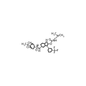 CN(C)CCNC(=O)Oc1[nH]c2ccc(NS(=O)(=O)c3ccc(C(C)(C)C)cc3)cc2c1-c1cccc(C(F)(F)F)c1